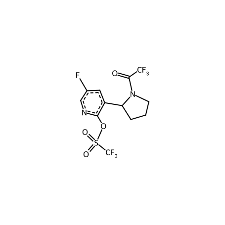 O=C(N1CCCC1c1cc(F)cnc1OS(=O)(=O)C(F)(F)F)C(F)(F)F